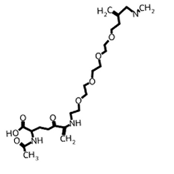 C=NCC(=C)CCOCCOCCOCCOCCNC(=C)C(=O)CCC(NC(C)=O)C(=O)O